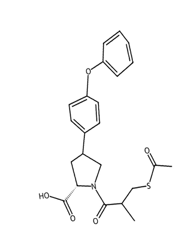 CC(=O)SCC(C)C(=O)N1CC(c2ccc(Oc3ccccc3)cc2)C[C@H]1C(=O)O